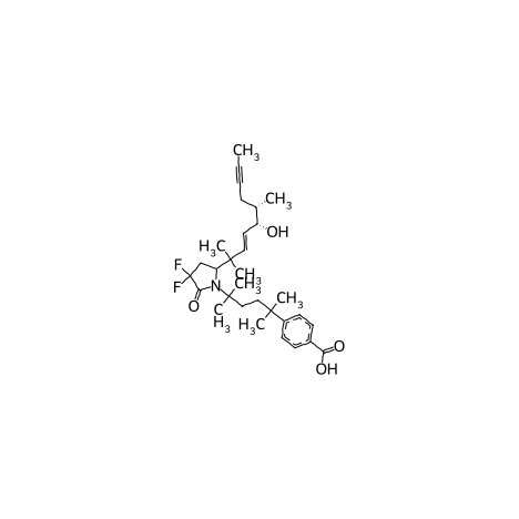 CC#CC[C@H](C)[C@H](O)/C=C/C(C)(C)C1CC(F)(F)C(=O)N1C(C)(C)CCC(C)(C)c1ccc(C(=O)O)cc1